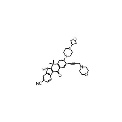 CC1(C)c2cc(N3CCN(C4COC4)CC3)c(C#CCN3CCOCC3)cc2C(=O)c2c1[nH]c1cc(C#N)ccc21